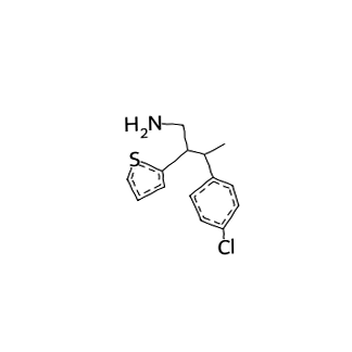 CC(c1ccc(Cl)cc1)C(CN)c1cccs1